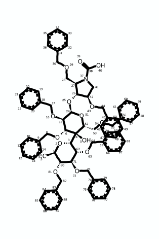 C[C@H]1O[C@H]([C@]2(O)[C@H](OCc3ccccc3)[C@@H](OCc3ccccc3)[C@@H](O[C@@H]3[C@@H](COCc4ccccc4)N(C(=O)O)C[C@H]3OCc3ccccc3)O[C@@H]2COCc2ccccc2)[C@H](OCc2ccccc2)[C@@H](OCc2ccccc2)[C@@H]1OCc1ccccc1